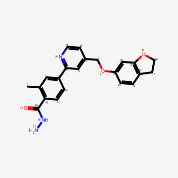 Cc1cc(-c2cc(COc3ccc4c(c3)OCC4)ccn2)ccc1C(=O)NN